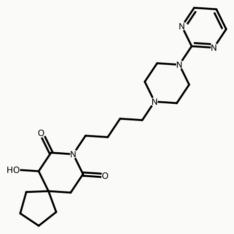 O=C1CC2(CCCC2)C(O)C(=O)N1CCCCN1CCN(c2ncccn2)CC1